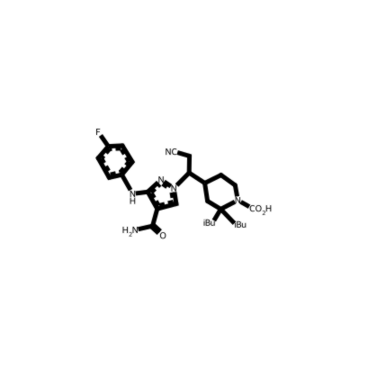 CCC(C)C1(C(C)CC)CC(C(CC#N)n2cc(C(N)=O)c(Nc3ccc(F)cc3)n2)CCN1C(=O)O